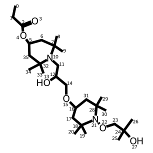 CCC(=O)OC1CC(C)(C)N(CC(O)COC2CC(C)(C)N(OCC(C)(C)O)C(C)(C)C2)C(C)(C)C1